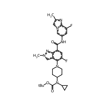 Cc1cn2cc(NC(=O)c3cc(F)c(N4CCC(N(C(=O)OC(C)(C)C)C5CC5)CC4)c4cn(C)nc34)cc(F)c2n1